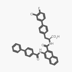 O=C(Nc1cc2ccccc2cc1C(=O)N[C@@H](Cc1ccc(-c2ccc(F)c(Cl)c2)cc1)C(=O)O)c1ccc(-c2ccccc2)cc1